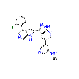 CC(C)Nc1cncc(-c2cnc3[nH]nc(-c4cc5c(-c6ccccc6F)cncc5[nH]4)c3c2)c1